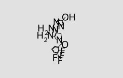 NC1=C(N(N)c2ncc(O)cn2)CCN(C(=O)c2cccc(C(F)(F)F)c2F)C1